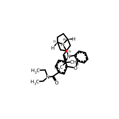 CCN(CC)C(=O)c1ccc2c(c1)Oc1ccccc1N2[C@@H]1C[C@H]2CC[C@@H](C1)N2CC=C(C)C